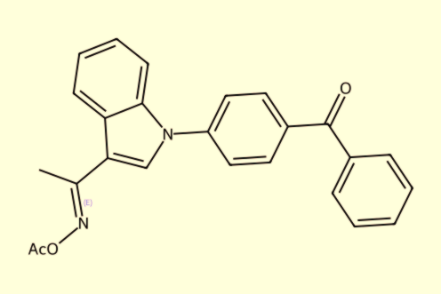 CC(=O)O/N=C(\C)c1cn(-c2ccc(C(=O)c3ccccc3)cc2)c2ccccc12